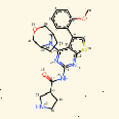 COc1ccccc1-c1csc2nc(NC(=O)C3CCNC3)nc(N3C4CCC3COC4)c12